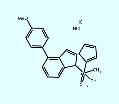 COc1ccc(-c2cccc3c2C=C[CH]3[Zr]([CH3])([CH3])(=[SiH2])[C]2=CC=CC2)cc1.Cl.Cl